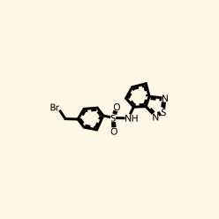 O=S(=O)(Nc1cccc2nsnc12)c1ccc(CBr)cc1